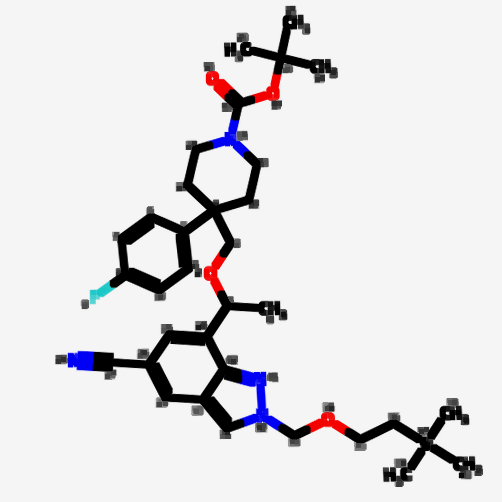 CC(OCC1(c2ccc(F)cc2)CCN(C(=O)OC(C)(C)C)CC1)c1cc(C#N)cc2cn(COCC[Si](C)(C)C)nc12